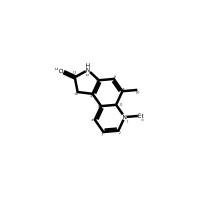 CCN1C=CC=C2C3=C(C=C(C)C21)NC(=O)C3